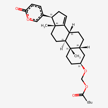 CC(C)(C)C(=O)OCO[C@H]1CC[C@@]2(C)[C@H](CC[C@H]3C4=CC[C@H](c5ccc(=O)oc5)[C@@]4(C)CC[C@@H]32)C1